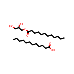 CCCCCCCCCCCC(=O)O.CCCCCCCCCCCC(=O)OCC(O)CO